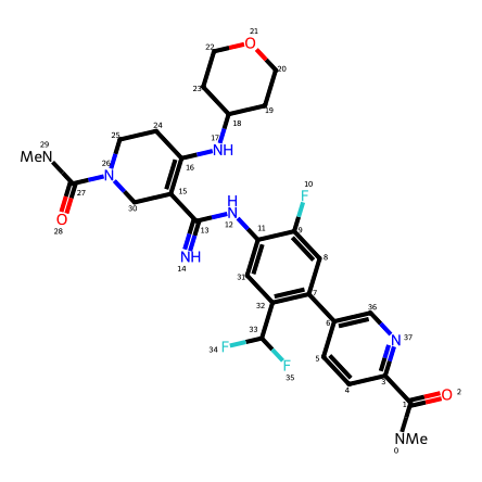 CNC(=O)c1ccc(-c2cc(F)c(NC(=N)C3=C(NC4CCOCC4)CCN(C(=O)NC)C3)cc2C(F)F)cn1